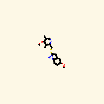 COc1ccc2[nH]c(SCc3ncc(C)c(OC)c3C)cc2c1